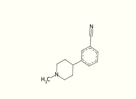 CN1CCC(c2cccc(C#N)c2)CC1